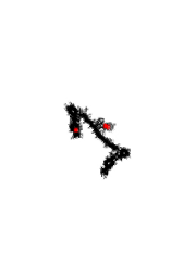 CN(C)c1ccc(/N=N/c2cccc[n+]2CCCCCCCCCCCCCC[n+]2ccccc2/N=N/c2ccc(N(C)C)cc2)cc1.[Br-].[Br-]